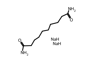 NC(=O)CCCCCCCCC(N)=O.[NaH].[NaH]